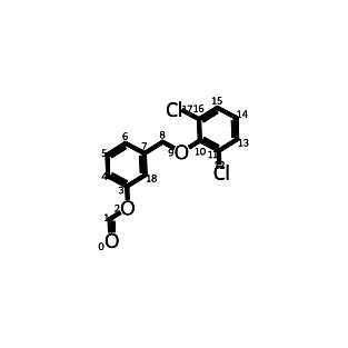 O=COc1cccc(COc2c(Cl)cccc2Cl)c1